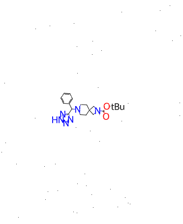 CC(C)(C)OC(=O)N1CC2(CCN(C(c3ccccc3)c3nn[nH]n3)CC2)C1